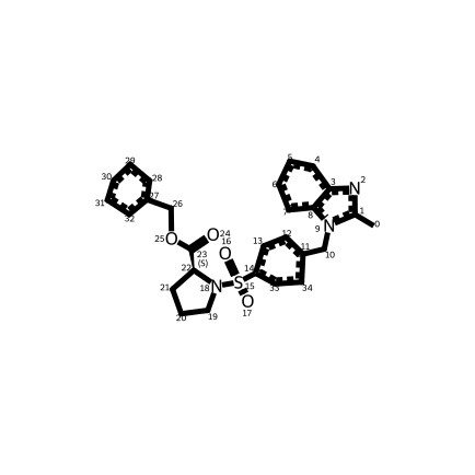 Cc1nc2ccccc2n1Cc1ccc(S(=O)(=O)N2CCC[C@H]2C(=O)OCc2ccccc2)cc1